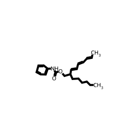 CC=CC=CC=CC(CCCCCC)COC(=O)Nc1ccccc1